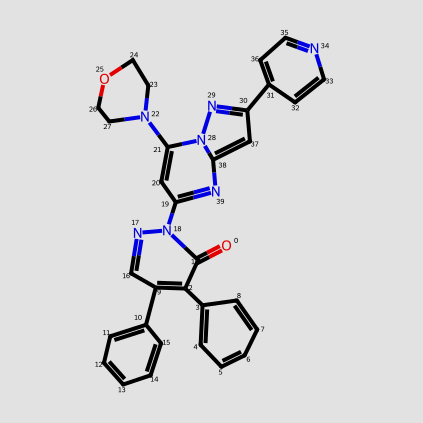 O=c1c(-c2ccccc2)c(-c2ccccc2)cnn1-c1cc(N2CCOCC2)n2nc(-c3ccncc3)cc2n1